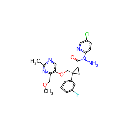 COCc1nc(C)ncc1OC[C@@]1(c2cccc(F)c2)C[C@H]1C(=O)N(N)c1ccc(Cl)cn1